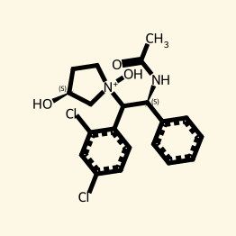 CC(=O)N[C@@H](c1ccccc1)C(c1ccc(Cl)cc1Cl)[N+]1(O)CC[C@H](O)C1